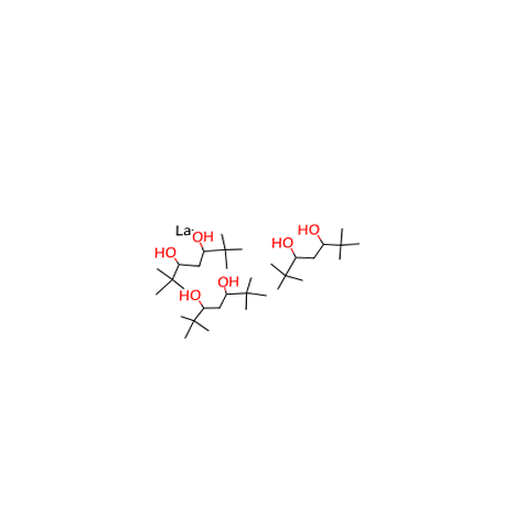 CC(C)(C)C(O)CC(O)C(C)(C)C.CC(C)(C)C(O)CC(O)C(C)(C)C.CC(C)(C)C(O)CC(O)C(C)(C)C.[La]